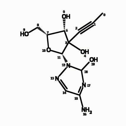 CC#CC1(O)[C@@H](O)[C@@H](CO)O[C@H]1N1N=CC(N)=NC1O